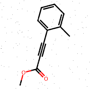 COC(=O)C#Cc1ccccc1C